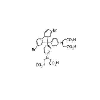 O=C(O)CN(CC(=O)O)c1ccc(C2(c3ccc(N(CC(=O)O)CC(=O)O)cc3)c3cc(Br)ccc3-c3ccc(Br)cc32)cc1